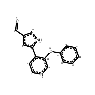 O=Cc1cc(-c2ccncc2Oc2ccccc2)[nH]n1